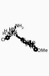 COc1cccc(Cn2ncc3c4sc(Cn5cc(C#CCSc6nc(NCCN)c(N)c(N(N)Cc7ccc(Cl)cc7)n6)cn5)nc4n(C)c3c2=O)c1